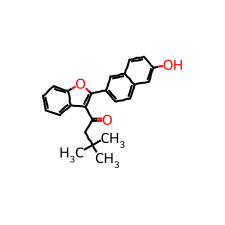 CC(C)(C)CC(=O)c1c(-c2ccc3cc(O)ccc3c2)oc2ccccc12